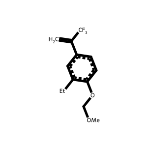 C=C(c1ccc(OCOC)c(CC)c1)C(F)(F)F